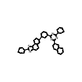 c1ccc(-c2nc(-c3cccc(-c4ccc5c(ccc6nc(-c7ccccc7)sc65)c4)c3)nc(-c3ccc4ccccc4c3)n2)cc1